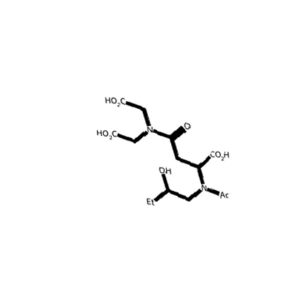 CCC(O)CN(C(C)=O)C(CC(=O)N(CC(=O)O)CC(=O)O)C(=O)O